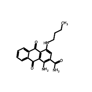 CCCCNc1cc(C(N)=O)c(N)c2c1C(=O)c1ccccc1C2=O